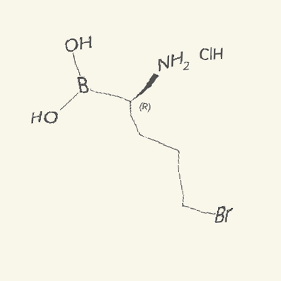 Cl.N[C@@H](CCCBr)B(O)O